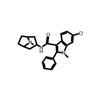 CN1C2CCC1CC(NC(=O)c1c(-c3ccccc3)n(C)c3cc(Cl)ccc13)C2